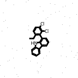 CCc1ccc(Cl)c(Cl)c1-c1cccc2c1[nH]c1ccccc12